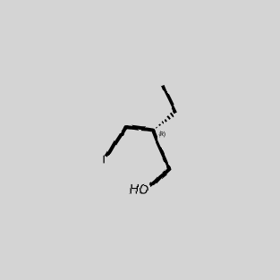 CC[C@H](CO)CI